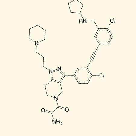 NC(=O)C(=O)N1CCc2c(c(-c3ccc(Cl)c(C#Cc4ccc(Cl)c(CNC5CCCC5)c4)c3)nn2CCCN2CCCCC2)C1